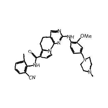 COc1cc(N2CCN(C)CC2)ccc1Nc1ncc2c(n1)-n1ccc(C(=O)Nc3c(C)cccc3C#N)c1CC2